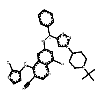 CC(C)(C)N1CCC(n2cc([C@@H](Nc3cc(Cl)c4ncc(C#N)c(Nc5ccsc5Cl)c4c3)c3ccccc3)nn2)CC1